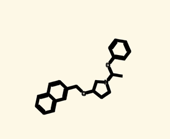 CC(Oc1ccccc1)N1CCC(OCc2ccc3ccccc3c2)C1